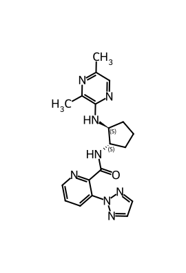 Cc1cnc(N[C@H]2CCC[C@@H]2NC(=O)c2ncccc2-n2nccn2)c(C)n1